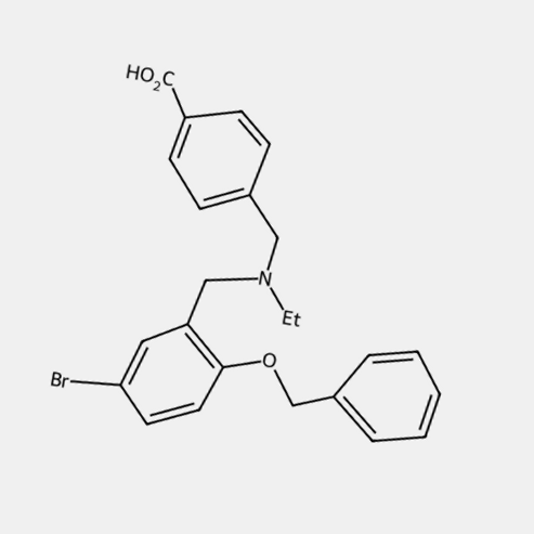 CCN(Cc1ccc(C(=O)O)cc1)Cc1cc(Br)ccc1OCc1ccccc1